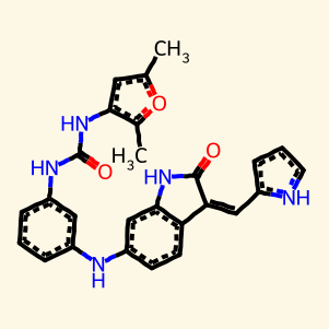 Cc1cc(NC(=O)Nc2cccc(Nc3ccc4c(c3)NC(=O)/C4=C\c3ccc[nH]3)c2)c(C)o1